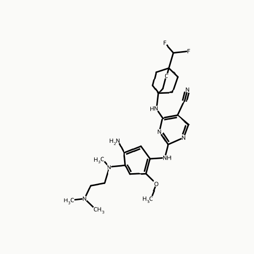 COc1cc(N(C)CCN(C)C)c(N)cc1Nc1ncc(C#N)c(NC23CCC(C(F)F)(CC2)CC3)n1